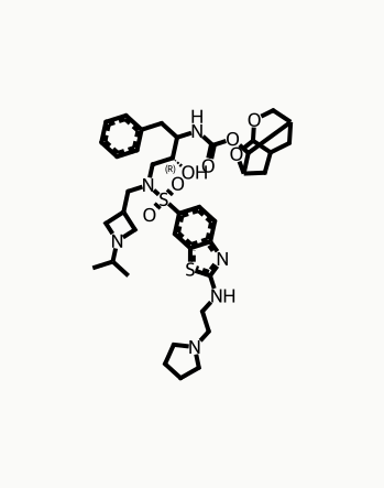 CC(C)N1CC(CN(C[C@@H](O)C(Cc2ccccc2)NC(=O)OC2C3COC4OC2CC4C3)S(=O)(=O)c2ccc3nc(NCCN4CCCC4)sc3c2)C1